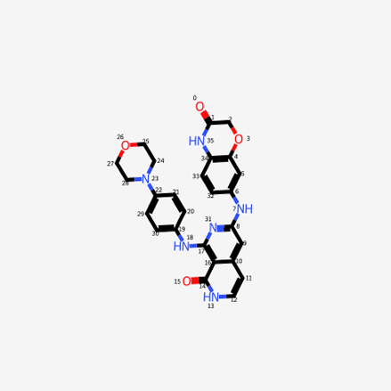 O=C1COc2cc(Nc3cc4cc[nH]c(=O)c4c(Nc4ccc(N5CCOCC5)cc4)n3)ccc2N1